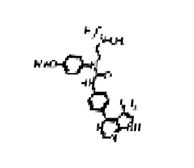 COc1ccc(N(CCN(C)C)C(=O)Nc2ccc(-c3ncnc4[nH]cc(C)c34)cc2)cc1